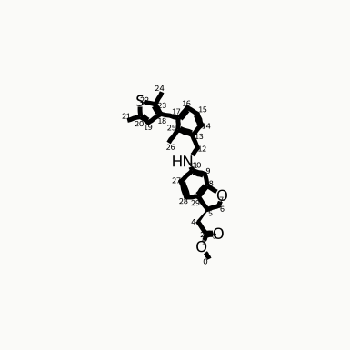 COC(=O)C[C@@H]1COc2cc(NCc3cccc(-c4cc(C)sc4C)c3C)ccc21